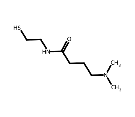 CN(C)CCCC(=O)NCCS